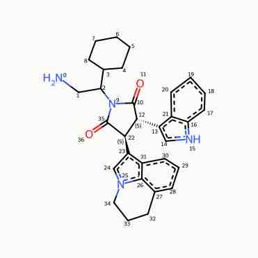 NCC(C1CCCCC1)N1C(=O)[C@H](c2c[nH]c3ccccc23)[C@@H](c2cn3c4c(cccc24)CCC3)C1=O